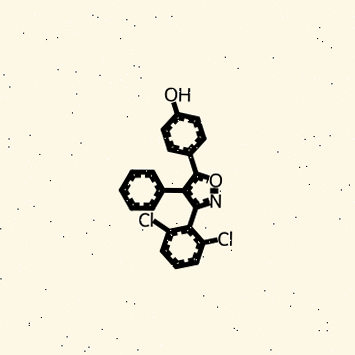 Oc1ccc(-c2onc(-c3c(Cl)cccc3Cl)c2-c2ccccc2)cc1